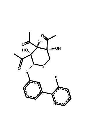 CC(=O)[C@]1(O)[C@@](O)(C(C)=O)CS[C@H](Oc2cccc(-c3ncccc3F)c2)[C@@]1(O)C(C)=O